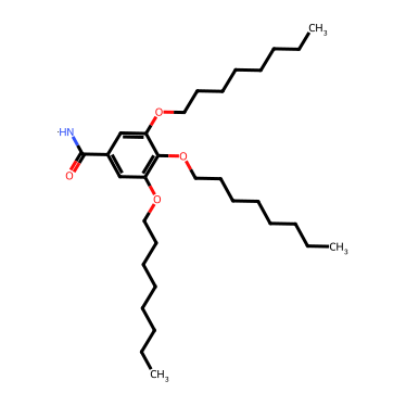 CCCCCCCCOc1cc(C([NH])=O)cc(OCCCCCCCC)c1OCCCCCCCC